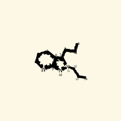 CCCc1c2cccnc2nn1CCC